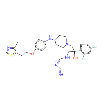 Cc1ncsc1CCOc1ccc(NC2CCN(CC(O)(CN/C=N\C=N)c3ccc(F)cc3F)CC2)cc1